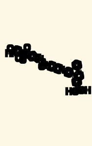 O=C1CCC(N2C(=O)c3cc4c(cc3C2=O)CN(CC(=O)N2CCC3(CC2)CCN(c2ccc([C@@H]5c6ccc(B(O)O)cc6CC[C@@H]5c5ccccc5)cc2)CC3)C4)C(=O)N1